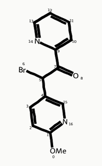 COc1ccc(C(Br)C(=O)c2ccccn2)cn1